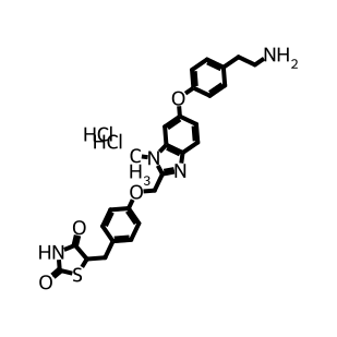 Cl.Cl.Cn1c(COc2ccc(CC3SC(=O)NC3=O)cc2)nc2ccc(Oc3ccc(CCN)cc3)cc21